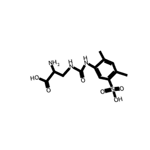 Cc1cc(C)c(S(=O)(=O)O)cc1NC(=O)NCC(N)C(=O)O